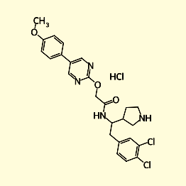 COc1ccc(-c2cnc(OCC(=O)NC(Cc3ccc(Cl)c(Cl)c3)C3CCNC3)nc2)cc1.Cl